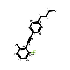 CCCCc1ccc(C#Cc2c(C)cccc2F)cc1